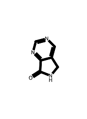 O=C1NCc2cn[c]nc21